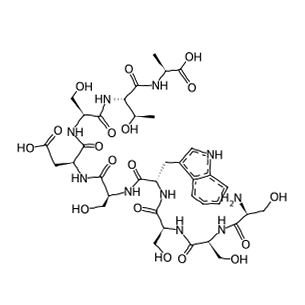 C[C@H](NC(=O)[C@@H](NC(=O)[C@H](CO)NC(=O)[C@H](CC(=O)O)NC(=O)[C@H](CO)NC(=O)[C@H](Cc1c[nH]c2ccccc12)NC(=O)[C@H](CO)NC(=O)[C@H](CO)NC(=O)[C@@H](N)CO)[C@@H](C)O)C(=O)O